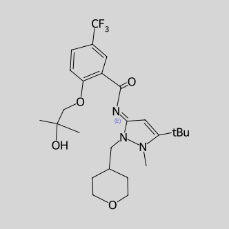 Cn1c(C(C)(C)C)c/c(=N\C(=O)c2cc(C(F)(F)F)ccc2OCC(C)(C)O)n1CC1CCOCC1